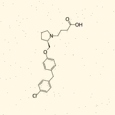 O=C(O)CCCN1CCC[C@@H]1COc1ccc(Cc2ccc(Cl)cc2)cc1